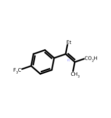 CC/C(=C(/C)C(=O)O)c1ccc(C(F)(F)F)cc1